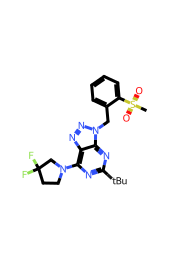 CC(C)(C)c1nc(N2CCC(F)(F)C2)c2nnn(Cc3ccccc3S(C)(=O)=O)c2n1